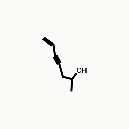 C=CC#CCC(C)O